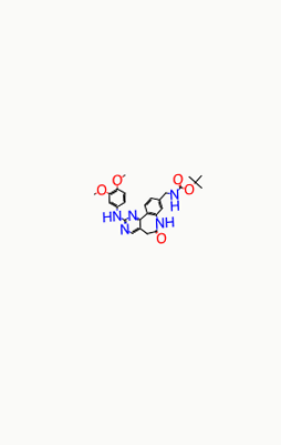 COc1ccc(Nc2ncc3c(n2)-c2ccc(CNC(=O)OC(C)(C)C)cc2NC(=O)C3)cc1OC